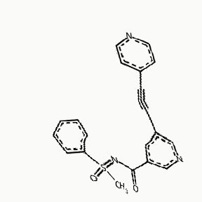 CS(=O)(=NC(=O)c1cncc(C#Cc2ccncc2)c1)c1ccccc1